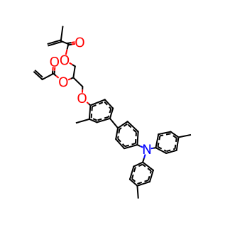 C=CC(=O)OC(COC(=O)C(=C)C)COc1ccc(-c2ccc(N(c3ccc(C)cc3)c3ccc(C)cc3)cc2)cc1C